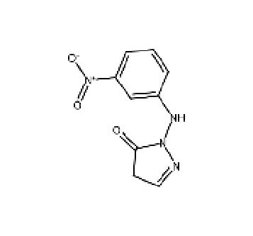 O=C1CC=NN1Nc1cccc([N+](=O)[O-])c1